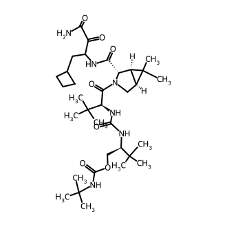 CC(C)(C)NC(=O)OC[C@@H](NC(=O)N[C@H](C(=O)N1C[C@H]2[C@@H]([C@H]1C(=O)NC(CC1CCC1)C(=O)C(N)=O)C2(C)C)C(C)(C)C)C(C)(C)C